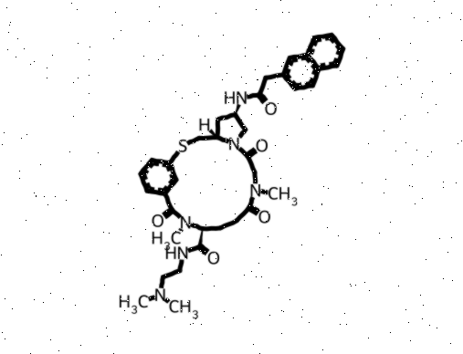 CN(C)CCNC(=O)[C@@H]1CCC(=O)N(C)CC(=O)N2C[C@H](NC(=O)Cc3ccc4ccccc4c3)C[C@H]2CSc2cccc(c2)C(=O)N1C